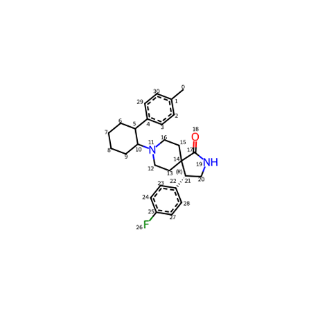 Cc1ccc(C2CCCCC2N2CCC3(CC2)C(=O)NC[C@@H]3c2ccc(F)cc2)cc1